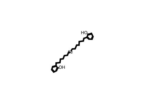 Oc1ccccc1CCCCCCC[Se]CCCCCCCc1ccccc1O